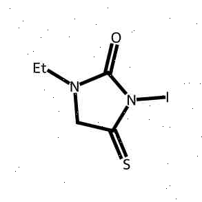 CCN1CC(=S)N(I)C1=O